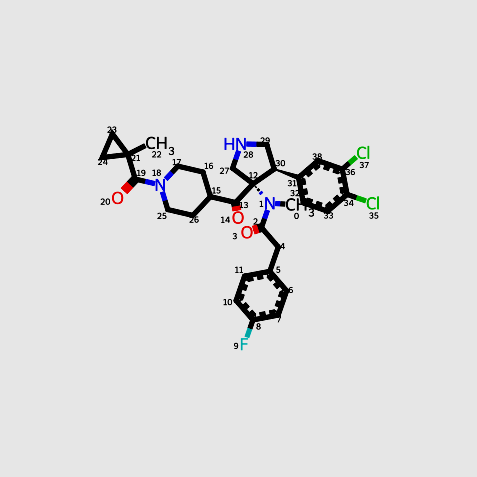 CN(C(=O)Cc1ccc(F)cc1)[C@]1(C(=O)C2CCN(C(=O)C3(C)CC3)CC2)CNC[C@H]1c1ccc(Cl)c(Cl)c1